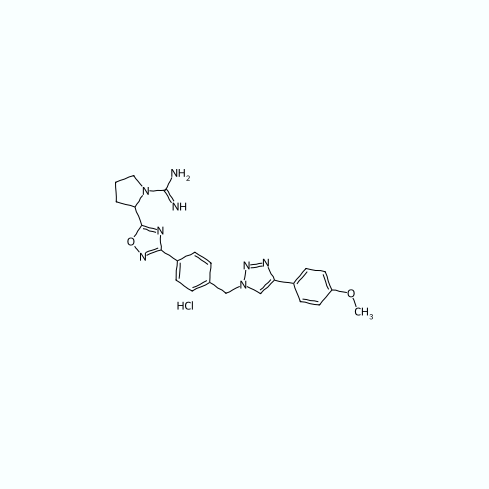 COc1ccc(-c2cn(Cc3ccc(-c4noc(C5CCCN5C(=N)N)n4)cc3)nn2)cc1.Cl